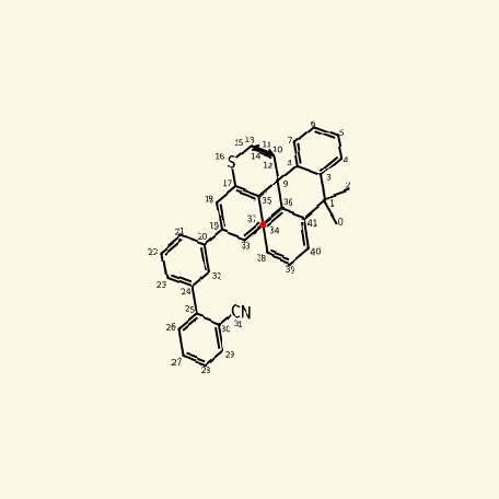 CC1(C)c2ccccc2C2(c3ccccc3Sc3cc(-c4cccc(-c5ccccc5C#N)c4)ccc32)c2ccccc21